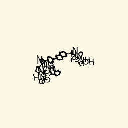 COC(=O)N[C@H](Cc1cn(C)c2ccccc12)C(=O)N1CCC[C@H]1c1ncc(-c2ccc(-c3ccc4cc(-c5cnc([C@@H]6CCCN6C(=O)[C@@H](NC(=O)O)C(C)C)[nH]5)ccc4c3)cc2)[nH]1